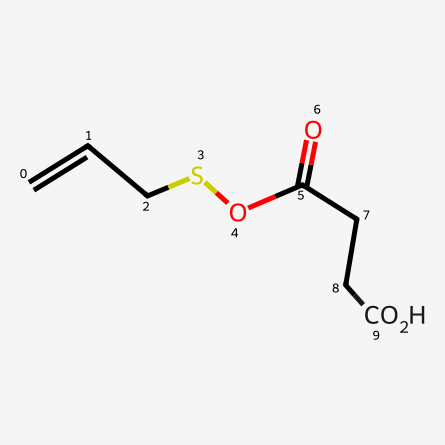 C=CCSOC(=O)CCC(=O)O